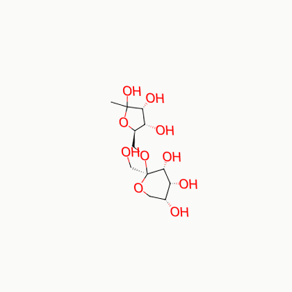 CC1(O)O[C@H](CO[C@]2(CO)OC[C@@H](O)[C@@H](O)[C@H]2O)[C@@H](O)[C@H]1O